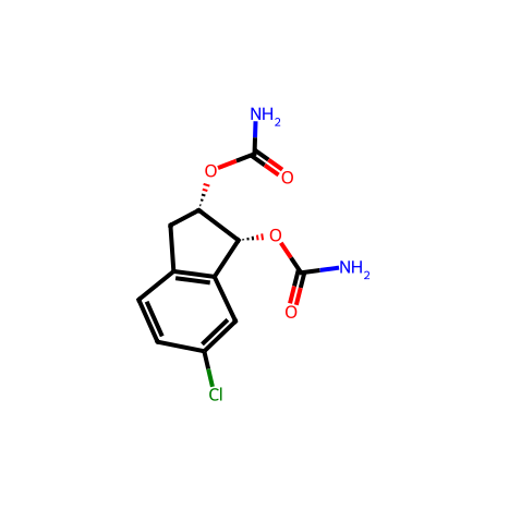 NC(=O)O[C@H]1Cc2ccc(Cl)cc2[C@H]1OC(N)=O